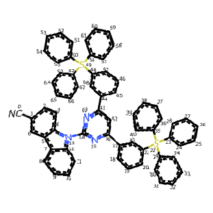 N#Cc1ccc2c(c1)c1ccccc1n2-c1nc(-c2cccc(S(c3ccccc3)(c3ccccc3)c3ccccc3)c2)cc(-c2cccc(S(c3ccccc3)(c3ccccc3)c3ccccc3)c2)n1